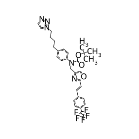 CC(C)(C)OC(=O)N(Cc1coc(C=Cc2ccc(S(F)(F)(F)(F)F)cc2)n1)c1ccc(CCCCn2ccnn2)cc1